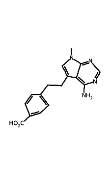 Cn1cc(CCc2ccc(C(=O)O)cc2)c2c(N)ncnc21